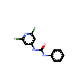 O=C(Nc1ccccc1)Nc1cc(Cl)nc(Cl)c1